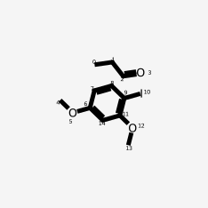 CCC=O.COc1ccc(I)c(OC)c1